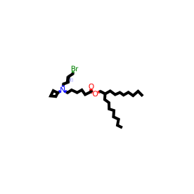 CCCCCCCCC(CCCCCCCC)COC(=O)CCCCCN(C/C=C/CBr)C1CCC1